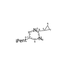 CCCC(C)c1cnc(C2CC2)nc1